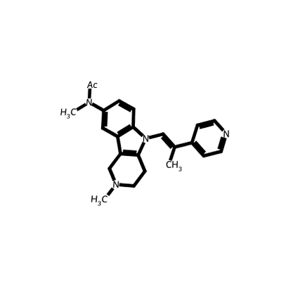 CC(=O)N(C)c1ccc2c(c1)c1c(n2C=C(C)c2ccncc2)CCN(C)C1